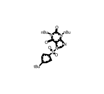 CCCCn1c(=O)c2c(ncn2S(=O)(=O)c2ccc(C(C)(C)C)cc2)n(CCCC)c1=O